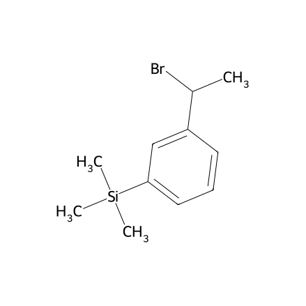 CC(Br)c1cccc([Si](C)(C)C)c1